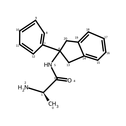 C[C@@H](N)C(=O)NC1(c2ccccc2)Cc2ccccc2C1